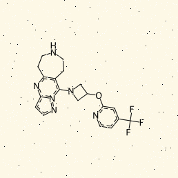 FC(F)(F)c1ccnc(OC2CN(c3c4c(nc5ccnn35)CCNCC4)C2)c1